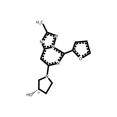 Cc1nc2cc(N3CC[C@H](O)C3)nc(-c3ccco3)n2n1